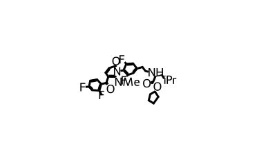 CNc1c(C(=O)c2ccc(F)cc2F)ccc(=O)n1-c1c(F)cc(CCN[C@@H](CC(C)C)C(=O)OC2CCCC2)cc1F